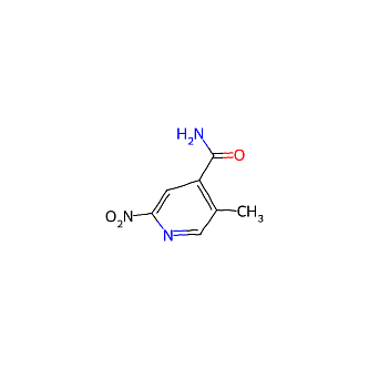 Cc1cnc([N+](=O)[O-])cc1C(N)=O